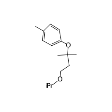 Cc1ccc(OC(C)(C)CCOC(C)C)cc1